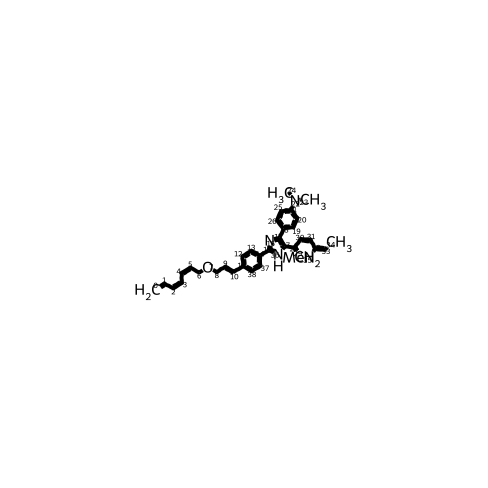 C=C/C=C\C=C/COC/C=C/c1ccc(-c2nc(-c3ccc(N(C)C)cc3)c(C(=C)/C=C\C(=C/C)NC)[nH]2)cc1